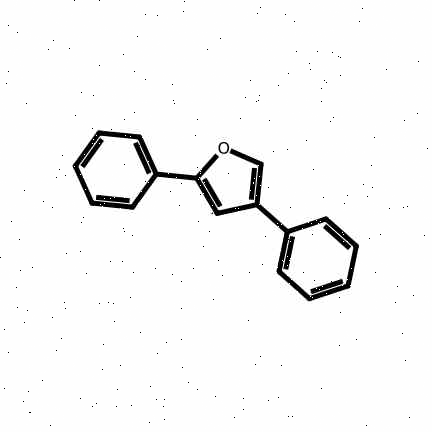 [c]1c(-c2ccccc2)coc1-c1ccccc1